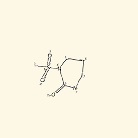 CS(=O)(=O)N1CCC[N]C1=O